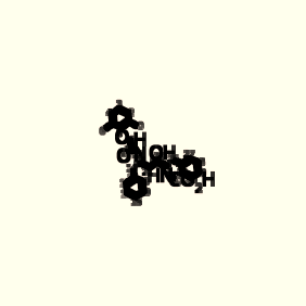 Cc1cccc(C)c1OCC(=O)N[C@@H](Cc1ccccc1)C[C@@H](O)[C@H](Cc1ccccc1)NC(=O)O